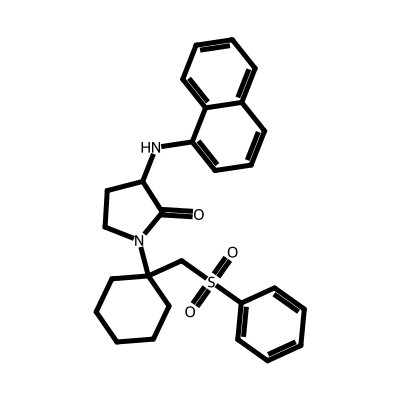 O=C1C(Nc2cccc3ccccc23)CCN1C1(CS(=O)(=O)c2ccccc2)CCCCC1